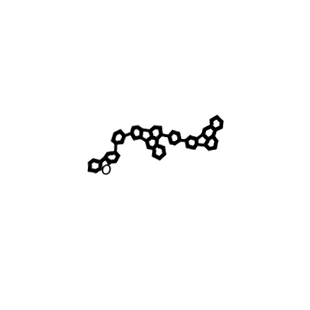 c1cc(-c2ccc3c(c2)-c2cc4ccccc4c4c(-c5ccc(-c6ccc7c(c6)-c6cc8ccccc8c8cccc-7c68)cc5)ccc-3c24)cc(-c2ccc3oc4ccccc4c3c2)c1